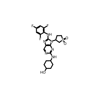 O=S1(=O)CCC(n2c(Nc3c(F)cc(F)cc3F)nc3cnc(NC4CCC(O)CC4)nc32)C1